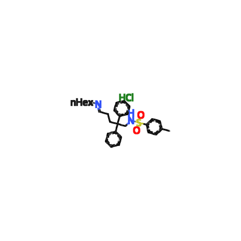 CCCCCCN=CCCC(CNS(=O)(=O)c1ccc(C)cc1)(c1ccccc1)c1ccccc1.Cl